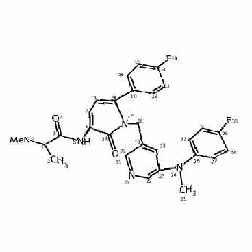 CNC(C)C(=O)Nc1ccc(-c2ccc(F)cc2)n(Cc2cncc(N(C)c3ccc(F)cc3)c2)c1=O